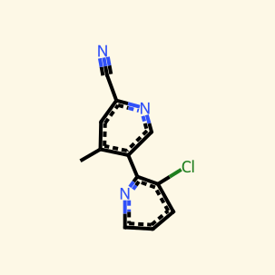 Cc1cc(C#N)ncc1-c1ncccc1Cl